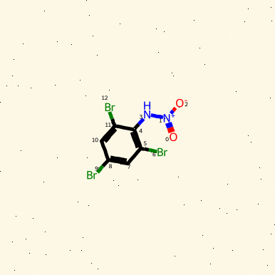 O=[N+]([O-])Nc1c(Br)cc(Br)cc1Br